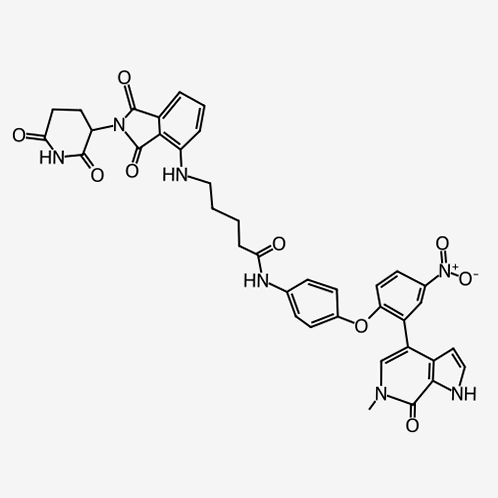 Cn1cc(-c2cc([N+](=O)[O-])ccc2Oc2ccc(NC(=O)CCCCNc3cccc4c3C(=O)N(C3CCC(=O)NC3=O)C4=O)cc2)c2cc[nH]c2c1=O